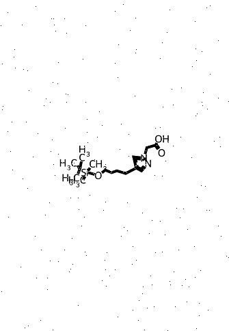 CC(C)(C)[Si](C)(C)OCCCCc1cnn(CC(=O)O)c1